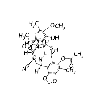 COc1c(C)cc2c(c1O)[C@@H]1C3[C@@H]4SCC(NC(C)=O)C(=O)OC[C@@H](c5c6c(c(C)c(OC(C)=O)c54)OCO6)N3[C@@H](C#N)[C@H](C2)N1C